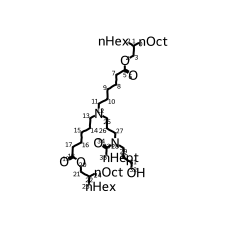 CCCCCCCCC(CCCCCC)COC(=O)CCCCCN(CCCCCC(=O)OCC(CCCCCC)CCCCCCCC)CCCN(CCCO)C(=O)CCCCCCC